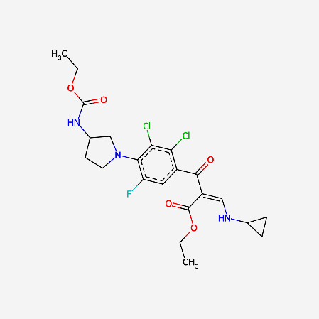 CCOC(=O)NC1CCN(c2c(F)cc(C(=O)C(=CNC3CC3)C(=O)OCC)c(Cl)c2Cl)C1